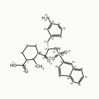 CC1C(C(=O)O)CCCN1C(=O)[C@H](Cc1cccc(N)c1)NS(=O)(=O)c1ccc2ccccc2c1